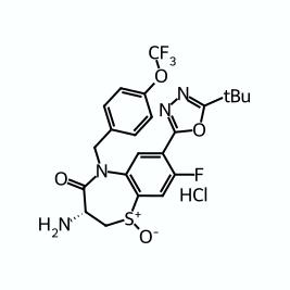 CC(C)(C)c1nnc(-c2cc3c(cc2F)[S+]([O-])C[C@H](N)C(=O)N3Cc2ccc(OC(F)(F)F)cc2)o1.Cl